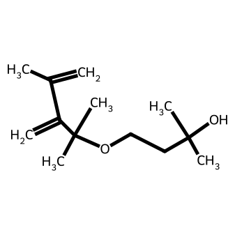 C=C(C)C(=C)C(C)(C)OCCC(C)(C)O